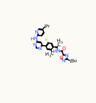 Cc1cc(-c2cc(Nc3ccc(C(C)C)cn3)ncn2)c(F)cc1[C@@H](C)NC(=O)c1nc(C(C)(C)C)no1